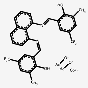 CC(=O)[O-].CC(=O)[O-].Cc1cc(C(F)(F)F)cc(C=Nc2cccc3cccc(N=Cc4cc(C(F)(F)F)cc(C)c4O)c23)c1O.[Co+2]